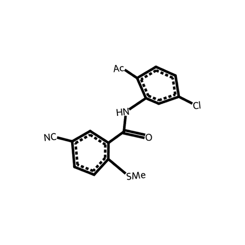 CSc1ccc(C#N)cc1C(=O)Nc1cc(Cl)ccc1C(C)=O